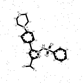 O=S(=O)(Nn1nc(C(F)F)cc1-c1ccc(N2CCOCC2)cc1)c1ccccc1